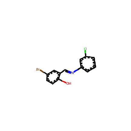 Oc1ccc(Br)cc1/C=N/c1cccc(Cl)c1